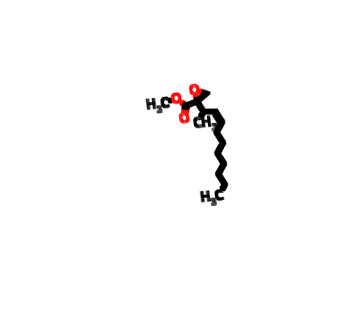 CCCCCCC/C=C\C(C)C1(C(=O)OC)CO1